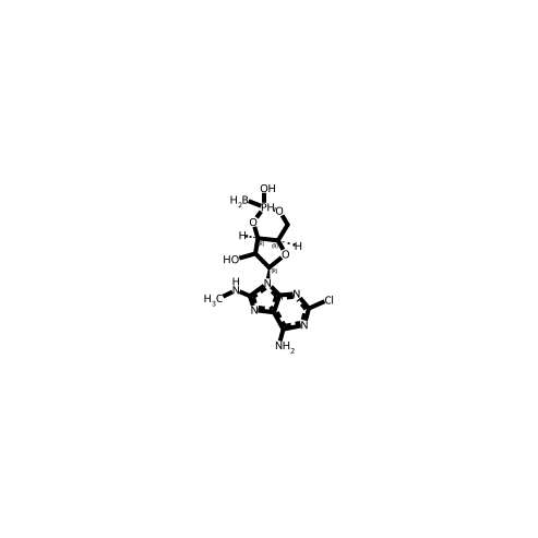 B[PH]1(O)OC[C@H]2O[C@@H](n3c(NC)nc4c(N)nc(Cl)nc43)C(O)[C@H]2O1